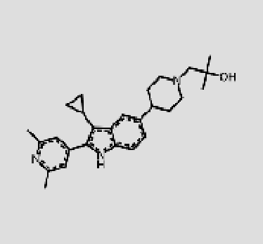 Cc1cc(-c2[nH]c3ccc(C4CCN(CC(C)(C)O)CC4)cc3c2C2CC2)cc(C)n1